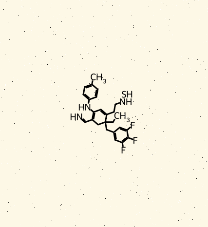 CCC1(Cc2cc(F)c(F)c(F)c2)CC(C=N)=C(Nc2ccc(C)cc2)C=C1CCNS